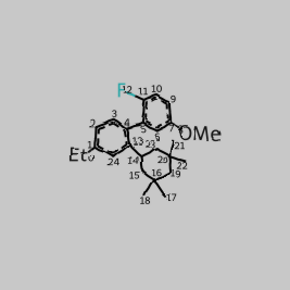 CCc1ccc(-c2cc(OC)ccc2F)c(C2CC(C)(C)CC(C)(C)C2)c1